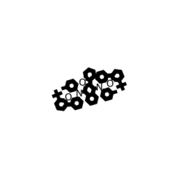 Cc1cccc(N(c2cccc3c2oc2c(C(C)(C)C)cccc23)c2c3ccccc3c(N(c3cccc(C)c3)c3cccc4c3oc3c(C(C)(C)C)cccc34)c3c2oc2ccccc23)c1